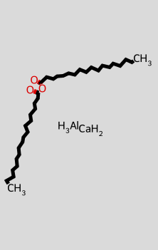 CCCCCCCCCCCCCCCCCC(=O)OC(=O)CCCCCCCCCCCCCCCCC.[AlH3].[CaH2]